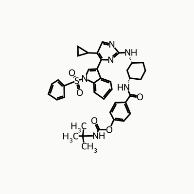 CC(C)(C)NC(=O)Oc1ccc(C(=O)N[C@H]2CCC[C@@H](Nc3ncc(C4CC4)c(-c4cn(S(=O)(=O)c5ccccc5)c5ccccc45)n3)C2)cc1